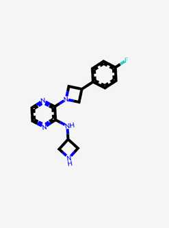 Fc1ccc(C2CN(c3nccnc3NC3CNC3)C2)cc1